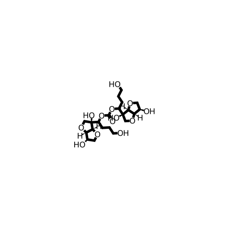 O=C(OC(CCCO)[C@@]1(O)CO[C@@H]2[C@H](O)CO[C@@H]21)OC(CCCO)[C@@]1(O)CO[C@@H]2[C@H](O)CO[C@@H]21